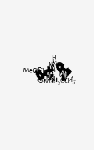 COc1cc(OC)c(Cl)c(-c2cc3cnc(Nc4ccc(-c5cccn5C(=O)N(C)C)cc4)nc3n3cnnc23)c1